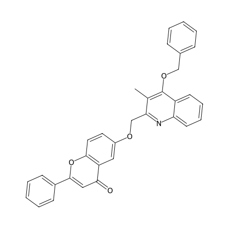 Cc1c(COc2ccc3oc(-c4ccccc4)cc(=O)c3c2)nc2ccccc2c1OCc1ccccc1